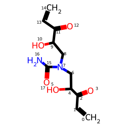 C=CC(=O)C(O)CN(CC(O)C(=O)C=C)C(N)=O